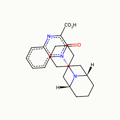 O=C(O)c1nc2ccccc2n([C@H]2C[C@H]3CCC[C@@H](C2)N3C2CCCCC2)c1=O